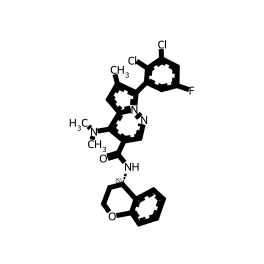 Cc1cc2c(N(C)C)c(C(=O)N[C@H]3CCOc4ccccc43)cnn2c1-c1cc(F)cc(Cl)c1Cl